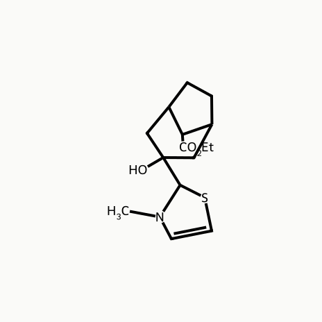 CCOC(=O)C1C2CCC1CC(O)(C1SC=CN1C)C2